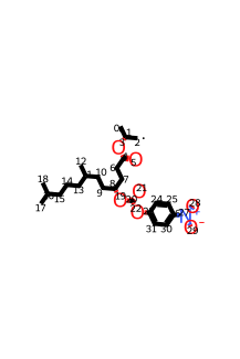 [CH2]C([CH2])OC(=O)CCC(CCC(C)CCCC(C)C)OC(=O)Oc1ccc([N+](=O)[O-])cc1